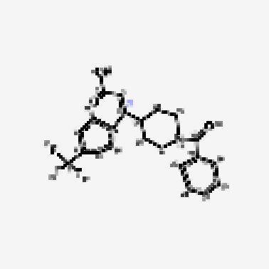 O=C(O)/C=C(\c1ccc(C(F)(F)F)cc1)C1CCN(C(=O)c2ccccc2)CC1